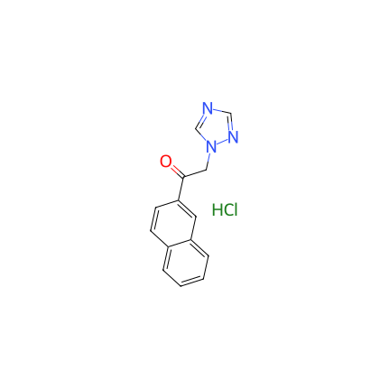 Cl.O=C(Cn1cncn1)c1ccc2ccccc2c1